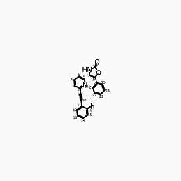 O=C1N[C@@H](c2cccc(C#Cc3ccccc3F)n2)[C@H](c2ccccc2)O1